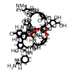 CN[C@H](CC(C)C)C(=O)N[C@H]1C(=O)N[C@@H](CC(N)=O)C(=O)N[C@H]2C(=N)N[C@H]3C(=O)N[C@H](C(=O)N[C@H](C(=O)NC4CCCC(NC(=N)N)CC4)c4cc(O)cc(O)c4-c4cc3ccc4C)[C@H](O)c3ccc(c(Cl)c3)Oc3cc2cc(c3O[C@H]2OC(CO)C(O)C(O)[C@H]2O[C@H]2CC(NCc3ccc(-c4ccc(Cl)cc4)cc3)C(O)[C@H](C)O2)Oc2ccc(cc2Cl)[C@H]1O